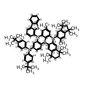 Cc1cc2c3c(c1)N(c1cccc4c1sc1ccccc14)c1cc(N(c4ccc(C(C)(C)C)cc4)c4ccc(C(C)(C)C)cc4)ccc1B3c1cc3c(cc1N2c1cc2c(cc1C)C(C)(C)CC2(C)C)C(C)(C)CCC3(C)C